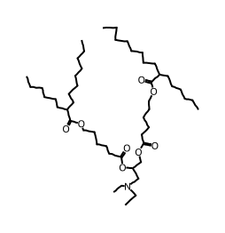 CCCCCCCCC(CCCCCC)C(=O)OCCCCCC(=O)OCC(CN(CC)CC)OC(=O)CCCCCOC(=O)C(CCCCCC)CCCCCCCC